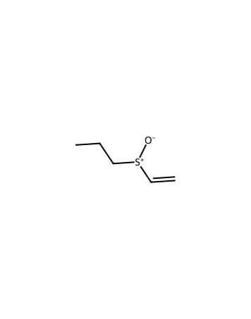 C=C[S+]([O-])CCC